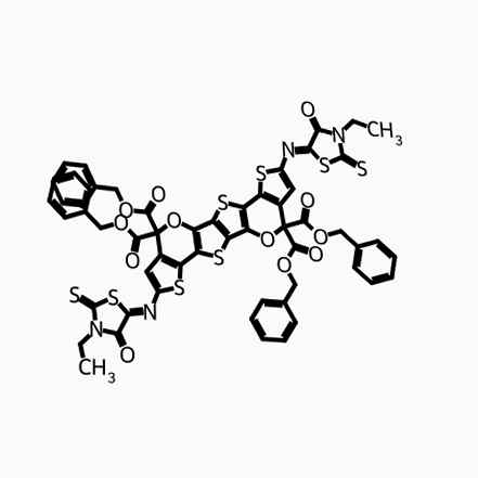 CCN1C(=O)/C(=N/c2cc3c(s2)-c2sc4c5c(sc4c2OC3(C(=O)OCc2ccccc2)C(=O)OCc2ccccc2)-c2sc(/N=C3\SC(=S)N(CC)C3=O)cc2C(C(=O)OCc2ccccc2)(C(=O)OCc2ccccc2)O5)SC1=S